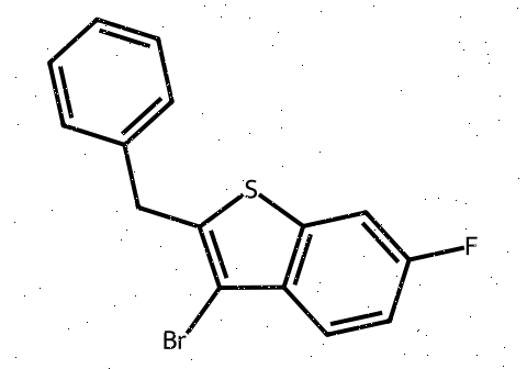 Fc1ccc2c(Br)c(Cc3ccccc3)sc2c1